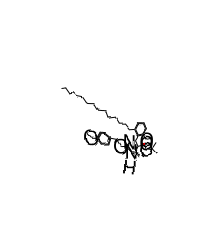 CCCCCCCCCCCCCCCc1cccc(OC)c1C1N=C(OCc2ccc(OC)cc2)NC(C)=C1C(=O)OC(C)C